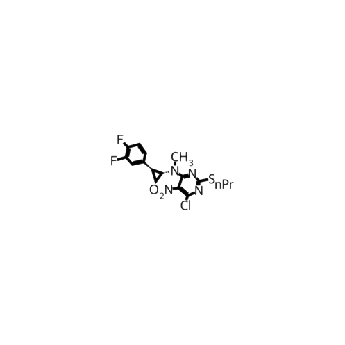 CCCSc1nc(Cl)c([N+](=O)[O-])c(N(C)[C@@H]2C[C@H]2c2ccc(F)c(F)c2)n1